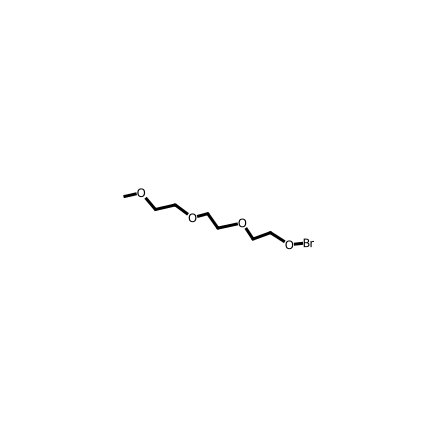 COCCOCCOCCOBr